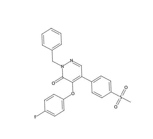 CS(=O)(=O)c1ccc(-c2cnn(Cc3ccccc3)c(=O)c2Oc2ccc(F)cc2)cc1